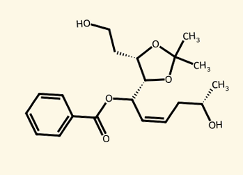 C[C@H](O)C/C=C\C(OC(=O)c1ccccc1)[C@H]1OC(C)(C)O[C@H]1CCO